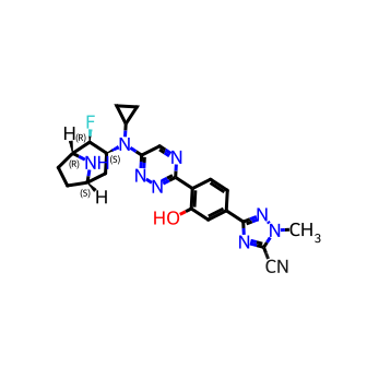 Cn1nc(-c2ccc(-c3ncc(N(C4CC4)[C@H]4C[C@@H]5CC[C@@H](N5)[C@H]4F)nn3)c(O)c2)nc1C#N